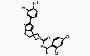 CC(NC(=O)N1CC2(CCn3nc(-c4cnc(N)c(C#N)c4)cc32)C1)c1ccc(C#N)cc1Cl